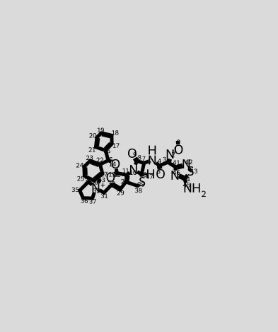 CON=C(C(=O)NC1C(=O)N2C(C(=O)OC(c3ccccc3)c3ccccc3)=C(C=CC[N+]3(C)CCCC3)CS[C@@H]12)c1nsc(N)n1